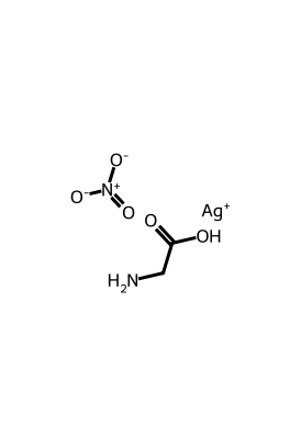 NCC(=O)O.O=[N+]([O-])[O-].[Ag+]